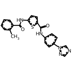 Cc1ccccc1C(=O)Nc1ccc(C(=O)Nc2ccc(-n3cncn3)cc2)s1